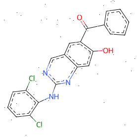 O=C(c1ccccc1)c1cc2cnc(Nc3c(Cl)cccc3Cl)nc2cc1O